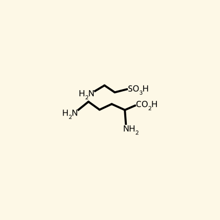 NCCCC(N)C(=O)O.NCCS(=O)(=O)O